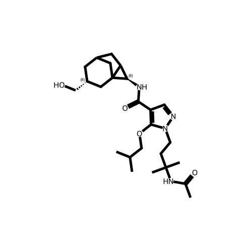 CC(=O)NC(C)(C)CCn1ncc(C(=O)N[C@@H]2C3CC4C[C@@H](CO)CC32C4)c1OCC(C)C